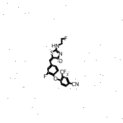 N#Cc1ccc(Oc2ccc(C=C3SC(NCCF)=NC3=O)cc2F)c(C(F)(F)F)c1